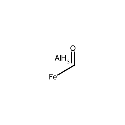 O=[CH][Fe].[AlH3]